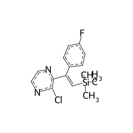 C[Si](C)(C)/C=C(\c1ccc(F)cc1)c1nccnc1Cl